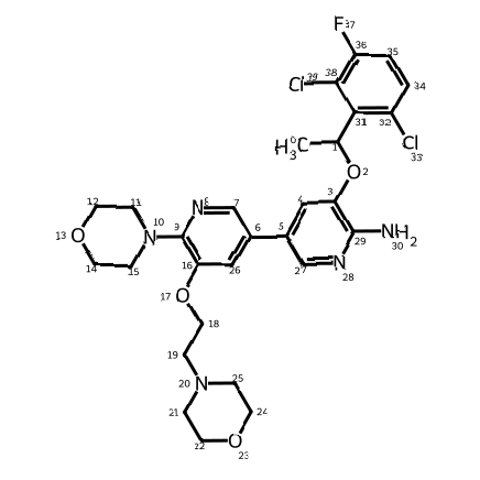 CC(Oc1cc(-c2cnc(N3CCOCC3)c(OCCN3CCOCC3)c2)cnc1N)c1c(Cl)ccc(F)c1Cl